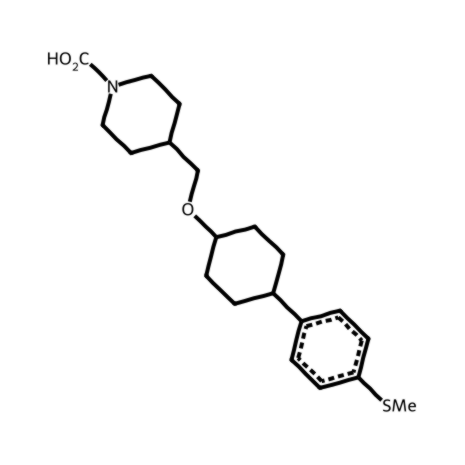 CSc1ccc(C2CCC(OCC3CCN(C(=O)O)CC3)CC2)cc1